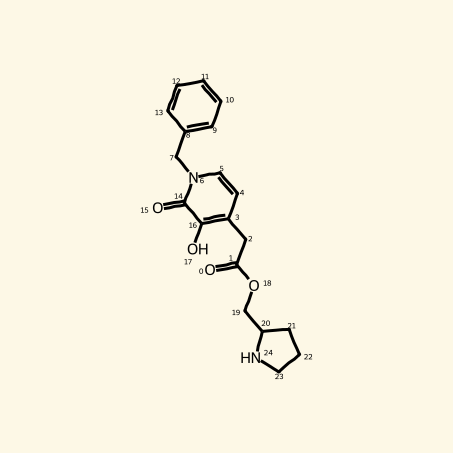 O=C(Cc1ccn(Cc2ccccc2)c(=O)c1O)OCC1CCCN1